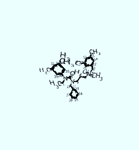 CCN(C(=O)N(CCC[N+](C)(C)Cc1cc(C)cc(C)c1)Cc1ccccc1)c1cc(C)cc(C)c1